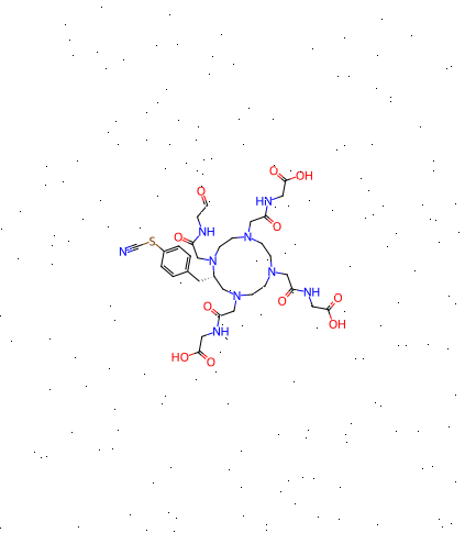 N#CSc1ccc(C[C@H]2CN(CC(=O)NCC(=O)O)CCN(CC(=O)NCC(=O)O)CCN(CC(=O)NCC(=O)O)CCN2CC(=O)NCC=O)cc1